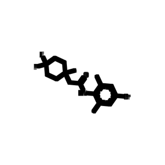 Cc1cc(Br)cc(C)c1NC(=O)CC1(C)CCC(F)(F)CC1